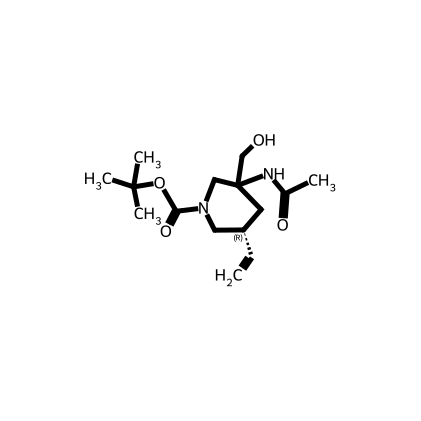 C=C[C@@H]1CN(C(=O)OC(C)(C)C)CC(CO)(NC(C)=O)C1